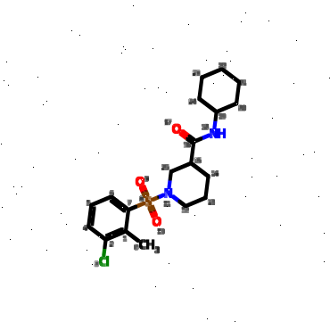 Cc1c(Cl)cccc1S(=O)(=O)N1CCCC(C(=O)NC2CCCCC2)C1